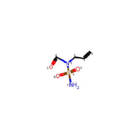 C=CCN([C]=O)S(N)(=O)=O